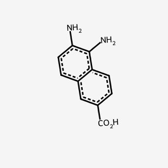 Nc1ccc2cc(C(=O)O)ccc2c1N